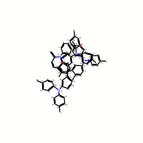 C=C(/C=C\C1=C(C)C2(c3cc(N(c4ccc(C)cc4)c4ccc(C)cc4)ccc31)c1cc(N(c3ccc(C)cc3)c3ccc(C)cc3)ccc1-c1ccc(N(c3ccc(C)cc3)c3ccc(C)cc3)cc12)N(c1ccccc1)c1ccc(C)cc1